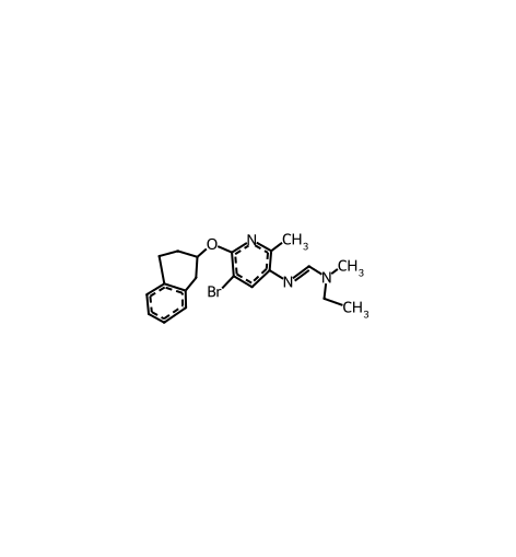 CCN(C)/C=N/c1cc(Br)c(OC2CCc3ccccc3C2)nc1C